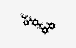 CCC(=O)N1CCC[C@@H]1C(=O)N1CCC(C(=O)Nc2cccc(-c3ccccc3F)c2)CC1